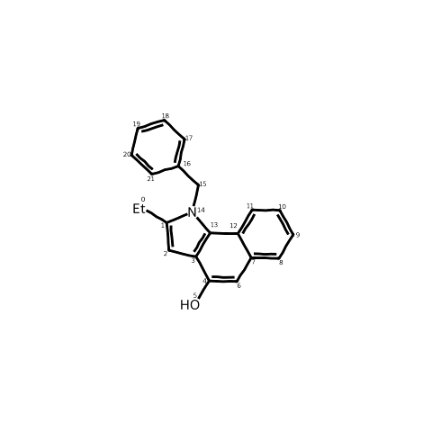 CCc1cc2c(O)cc3ccccc3c2n1Cc1ccccc1